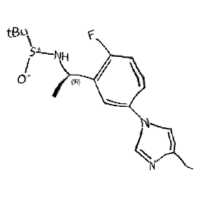 Cc1cn(-c2ccc(F)c([C@@H](C)N[S+]([O-])C(C)(C)C)c2)cn1